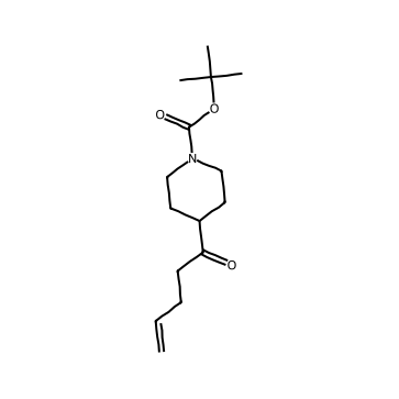 C=CCCC(=O)C1CCN(C(=O)OC(C)(C)C)CC1